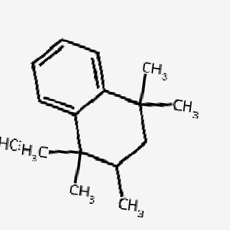 CC1CC(C)(C)c2ccccc2C1(C)C.[CH]